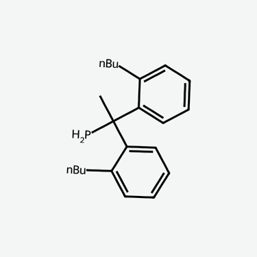 CCCCc1ccccc1C(C)(P)c1ccccc1CCCC